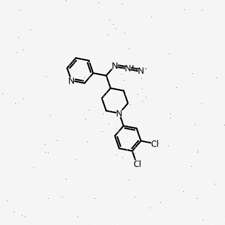 [N-]=[N+]=NC(c1cccnc1)C1CCN(c2ccc(Cl)c(Cl)c2)CC1